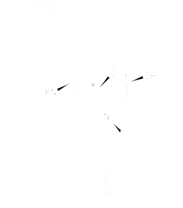 O[C@@H]1O[C@H]([C@H]2NC2c2ccccc2)[N@]2C(c3ccccc3)C12